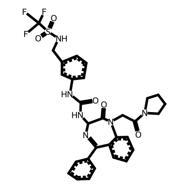 O=C(Nc1cccc(CNS(=O)(=O)C(F)(F)F)c1)NC1N=C(c2ccccc2)c2ccccc2N(CC(=O)N2CCCC2)C1=O